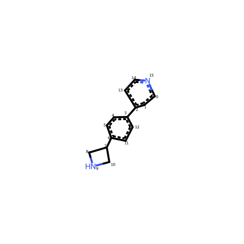 c1cc(-c2ccc(C3CNC3)cc2)ccn1